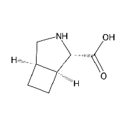 O=C(O)[C@H]1NC[C@@H]2CC[C@@H]21